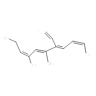 C=CC(=C\C=C/C)/C(=C/C(=C\CS)C(C)C)CCC